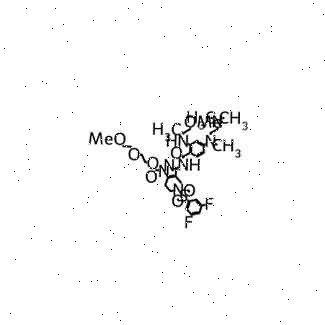 COCCOCCOC(=O)n1nc(NC(=O)c2ccc(N(C)CCN(C)C)cc2N[C@H](C)COC)c2c1CCN(S(=O)(=O)c1cc(F)cc(F)c1)C2